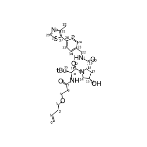 C=CCCOCCC(=O)N[C@H](C(=O)N1C[C@H](O)C[C@H]1C(=O)NCc1ccc(-c2scnc2C)cc1)C(C)(C)C